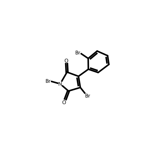 O=C1C(Br)=C(c2ccccc2Br)C(=O)N1Br